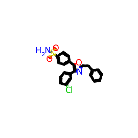 NS(=O)(=O)c1ccc(-c2oc(Cc3ccccc3)nc2-c2cccc(Cl)c2)cc1